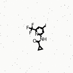 O=C(Nc1cc(I)cc(C(F)(F)F)n1)C1CC1